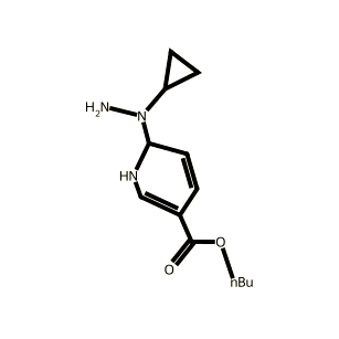 CCCCOC(=O)C1=CNC(N(N)C2CC2)C=C1